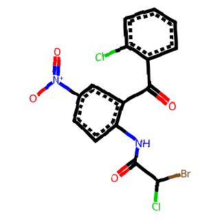 O=C(c1ccccc1Cl)c1cc([N+](=O)[O-])ccc1NC(=O)C(Cl)Br